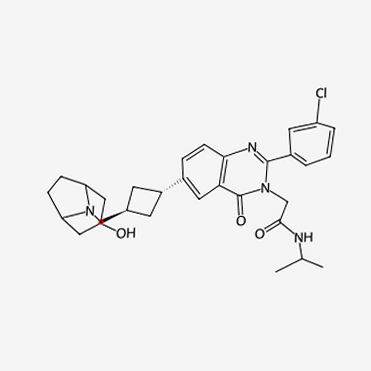 CC(C)NC(=O)Cn1c(-c2cccc(Cl)c2)nc2ccc([C@H]3C[C@H](CN4C5CCC4CC(O)C5)C3)cc2c1=O